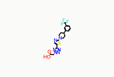 O=C(O)Cn1nnc(-c2cnc(N3CCC(c4cccc(C(F)(F)F)c4)CC3)s2)n1